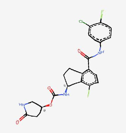 O=C1C[C@H](OC(=O)N[C@H]2CCc3c(C(=O)Nc4ccc(F)c(Cl)c4)ccc(F)c32)CN1